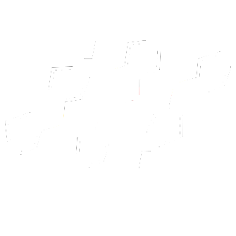 CC(C)Sc1cccc(P(c2ccccc2)c2ccccc2)c1[O][Zr+2][O]c1c(SC(C)C)cccc1P(c1ccccc1)c1ccccc1.[Cl-].[Cl-]